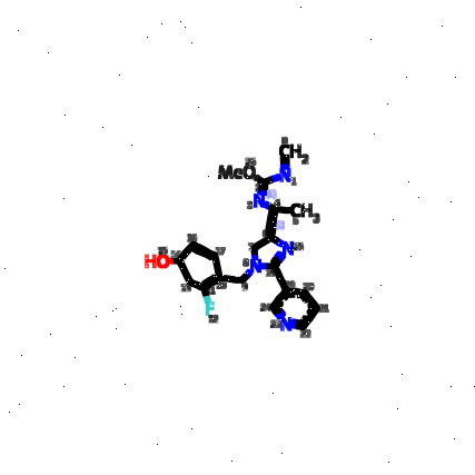 C=N/C(=N\C(C)=C1/CN(CC2=C(F)CC(O)C=C2)C(c2cccnc2)=N1)OC